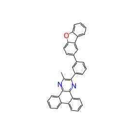 Cc1nc2c3ccccc3c3ccccc3c2nc1-c1cccc(-c2ccc3oc4ccccc4c3c2)c1